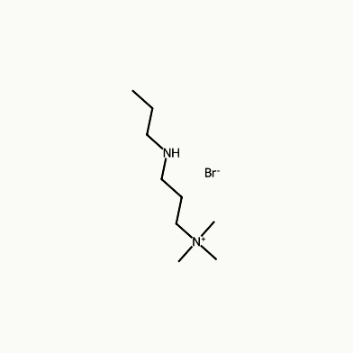 CCCNCCC[N+](C)(C)C.[Br-]